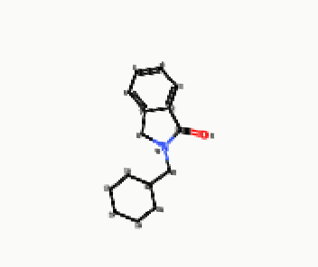 O=C1c2ccccc2CN1CC1CCCCC1